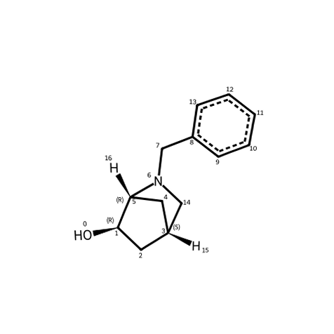 O[C@@H]1C[C@@H]2C[C@H]1N(Cc1ccccc1)C2